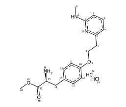 CNc1cccc(CCOc2ccc(C[C@H](N)C(=O)OC)cc2)n1.Cl.Cl